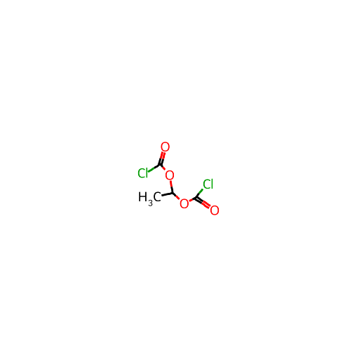 CC(OC(=O)Cl)OC(=O)Cl